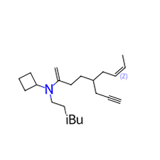 C#CCC(C/C=C\C)CCC(=C)N(CCC(C)CC)C1CCC1